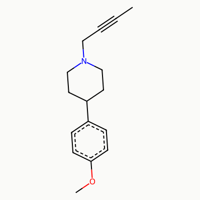 CC#CCN1CCC(c2ccc(OC)cc2)CC1